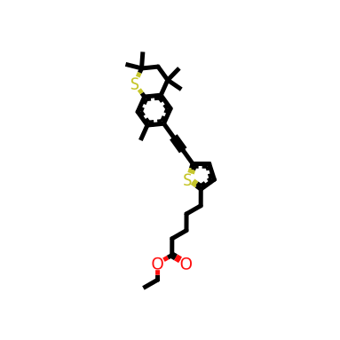 CCOC(=O)CCCCc1ccc(C#Cc2cc3c(cc2C)SC(C)(C)CC3(C)C)s1